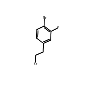 [O]CCc1ccc(Br)c(F)c1